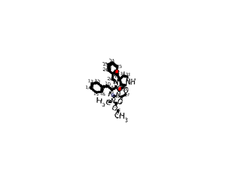 CCOC(=O)N(C)/C(=N/C(CC1CCCCC1)C(=O)N(Cc1ccccc1)C1(C#N)CCNCC1)N1CCOCC1